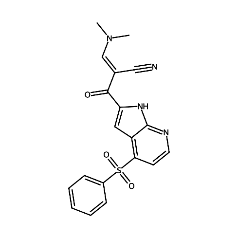 CN(C)C=C(C#N)C(=O)c1cc2c(S(=O)(=O)c3ccccc3)ccnc2[nH]1